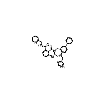 CCc1cccc(C(=O)NCc2ccccn2)c1C(=O)N1CCN(Cc2c[nH]cn2)c2ccc(-c3ccccc3)cc2C1